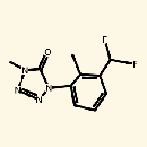 Cc1c(C(F)F)cccc1-n1nnn(C)c1=O